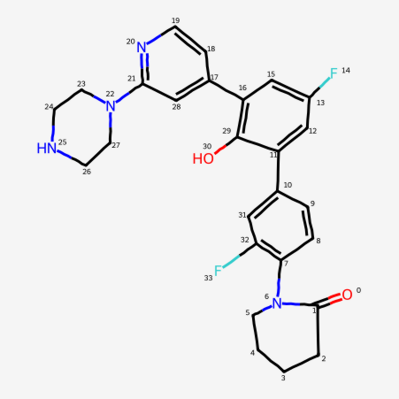 O=C1CCCCN1c1ccc(-c2cc(F)cc(-c3ccnc(N4CCNCC4)c3)c2O)cc1F